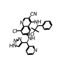 CC(C)(O)[C@H](Nc1c(C#N)cnc2c(Cl)cc(N[C@@H](c3cccnc3)c3c[nH]nn3)cc12)c1ccccc1